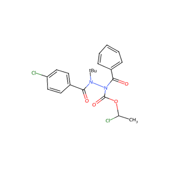 CC(Cl)OC(=O)N(C(=O)c1ccccc1)N(C(=O)c1ccc(Cl)cc1)C(C)(C)C